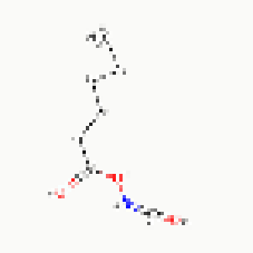 CCCCCC(=O)ON=C=O